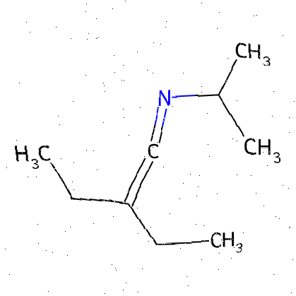 CCC(=C=NC(C)C)CC